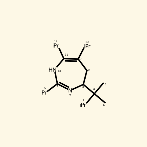 CC(C)C1=NC(C(C)(C)C(C)C)CC(C(C)C)=C(C(C)C)N1